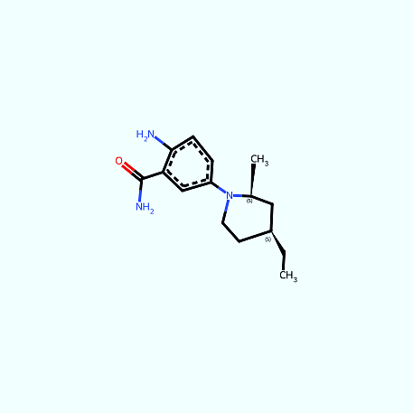 CC[C@H]1CCN(c2ccc(N)c(C(N)=O)c2)[C@@H](C)C1